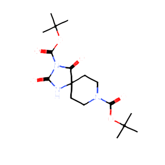 CC(C)(C)OC(=O)N1CCC2(CC1)NC(=O)N(C(=O)OC(C)(C)C)C2=O